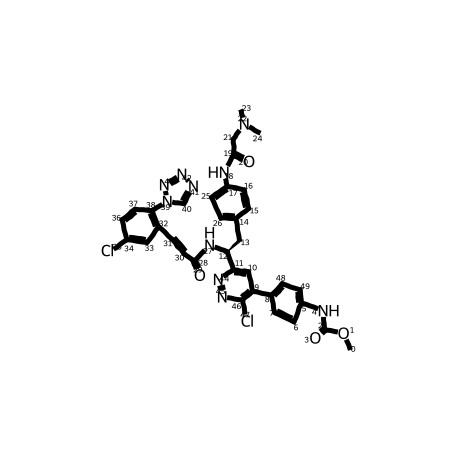 COC(=O)Nc1ccc(-c2cc([C@H](Cc3ccc(NC(=O)CN(C)C)cc3)NC(=O)/C=C/c3cc(Cl)ccc3-n3cnnn3)nnc2Cl)cc1